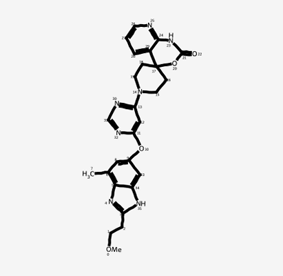 COCCc1nc2c(C)cc(Oc3cc(N4CCC5(CC4)OC(=O)Nc4ncccc45)ncn3)cc2[nH]1